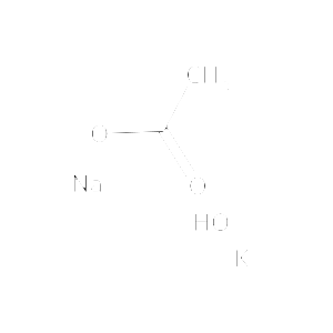 CC(=O)[O-].[K+].[Na+].[OH-]